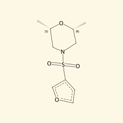 C[C@@H]1CN(S(=O)(=O)c2ccoc2)C[C@H](C)O1